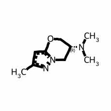 Cc1cc2n(n1)C[C@@H](N(C)C)CO2